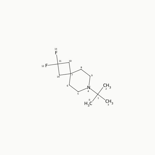 CC(C)(C)N1CCC2(CC1)CC(F)(F)C2